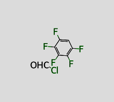 Fc1cc(F)c(F)c(F)c1F.O=CCl